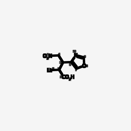 CCC(C(=O)O)C(C[N+](=O)[O-])c1cocn1